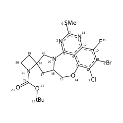 CSc1nc2c3c(c(Cl)c(Br)c(F)c3n1)OCC1CC3(CCN3C(=O)OC(C)(C)C)CN21